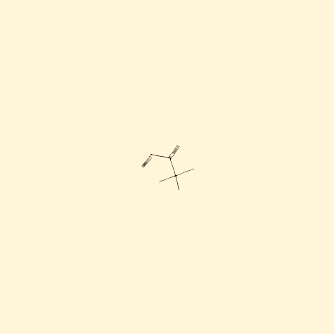 C=CC(=C)C(C)(C)C